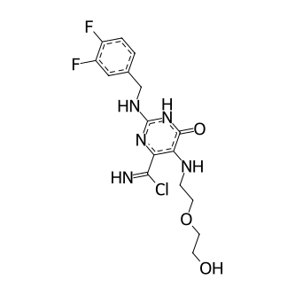 N=C(Cl)c1nc(NCc2ccc(F)c(F)c2)[nH]c(=O)c1NCCOCCO